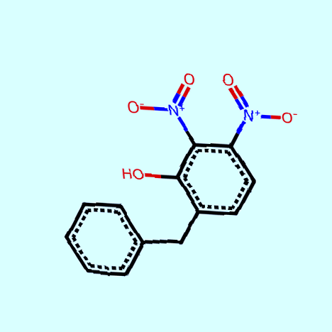 O=[N+]([O-])c1ccc(Cc2ccccc2)c(O)c1[N+](=O)[O-]